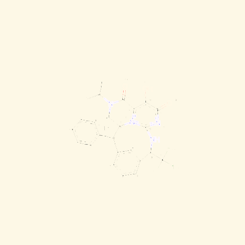 CC(C)N1C[C@@H]2C(c3ccccc3)c3cccc(c3)C(C(F)(F)F)Nc3nc(=O)c(O)c(n32)C1=O